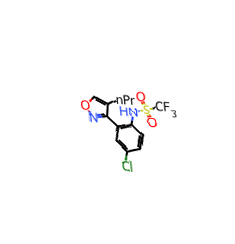 CCCc1conc1-c1cc(Cl)ccc1NS(=O)(=O)C(F)(F)F